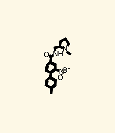 CCN1CCCC1CNC(=O)c1ccc(-c2ccc(C)cc2)c([N+](=O)[O-])c1